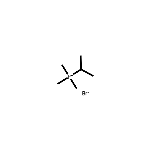 CC(C)[P+](C)(C)C.[Br-]